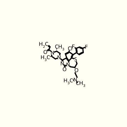 C=CC(=O)N1[C@H](C)CN(c2nc(=O)n3c4c(c(-c5ccc(F)cc5F)c(Cl)cc24)SCC(OCCN(C)C)C3)C[C@@H]1C